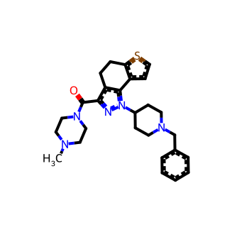 CN1CCN(C(=O)c2nn(C3CCN(Cc4ccccc4)CC3)c3c2CCc2sccc2-3)CC1